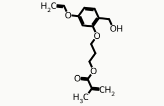 C=COc1ccc(CO)c(OCCCOC(=O)C(=C)C)c1